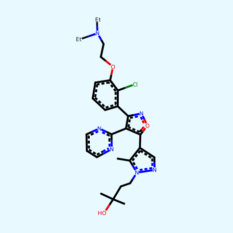 CCN(CC)CCOc1cccc(-c2noc(-c3cnn(CCC(C)(C)O)c3C)c2-c2ncccn2)c1Cl